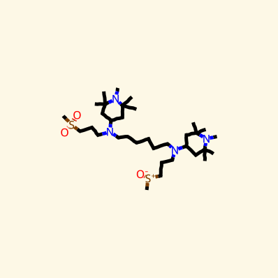 CN1C(C)(C)CC(N(CCCCCCN(CCCS(C)(=O)=O)C2CC(C)(C)N(C)C(C)(C)C2)CCC[S+](C)[O-])CC1(C)C